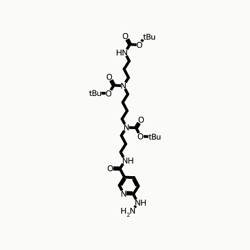 CC(C)(C)OC(=O)NCCCN(CCCCN(CCCNC(=O)c1ccc(NN)nc1)C(=O)OC(C)(C)C)C(=O)OC(C)(C)C